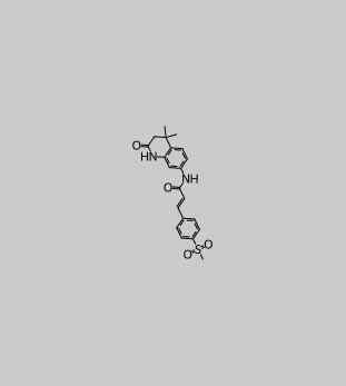 CC1(C)CC(=O)Nc2cc(NC(=O)/C=C/c3ccc(S(C)(=O)=O)cc3)ccc21